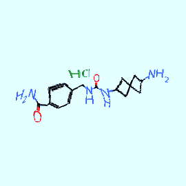 Cl.NC(=O)c1ccc(CNC(=O)NC2CC3(CC(N)C3)C2)cc1